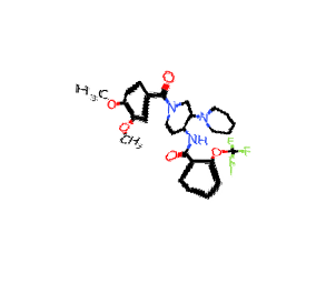 COc1ccc(C(=O)N2CCC(NC(=O)c3ccccc3OC(F)(F)F)C(N3CCCCC3)C2)cc1OC